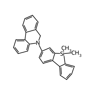 C[Si]1(C)c2ccccc2-c2ccc(N3Cc4ccccc4-c4ccccc43)cc21